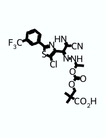 CC(N/N=C(\C(=N)C#N)c1nc(-c2cccc(C(F)(F)F)c2)sc1Cl)OC(=O)OCC(C)(C)C(=O)O